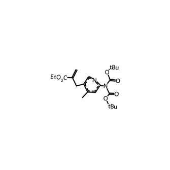 C=C(Cc1cnc(N(C(=O)OC(C)(C)C)C(=O)OC(C)(C)C)cc1C)C(=O)OCC